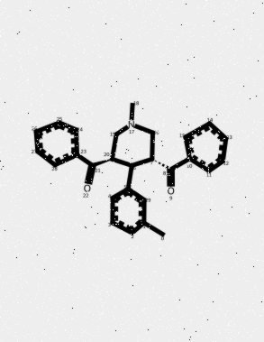 Cc1cccc(C2[C@@H](C(=O)c3ccccc3)CN(C)C[C@@H]2C(=O)c2ccccc2)c1